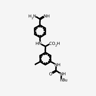 CCCCNC(=O)Nc1cc(C)cc(C(Nc2ccc(C(=N)N)cc2)C(=O)O)c1